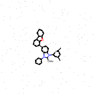 COC1N(c2cc(C)cc(C)c2)c2ccc(-c3cccc4c3oc3ccccc34)cc2N1c1ccccc1